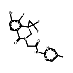 Cc1cnc(NC(=O)CN2C[C@]3(CC3(F)F)c3c(ccc(Br)c3F)C2=O)nc1